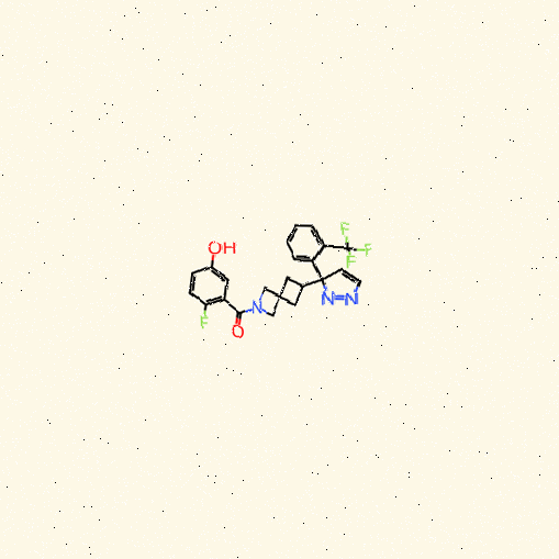 O=C(c1cc(O)ccc1F)N1CC2(CC(C3(c4ccccc4C(F)(F)F)C=CN=N3)C2)C1